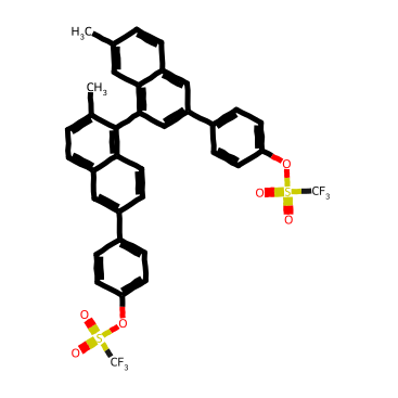 Cc1ccc2cc(-c3ccc(OS(=O)(=O)C(F)(F)F)cc3)cc(-c3c(C)ccc4cc(-c5ccc(OS(=O)(=O)C(F)(F)F)cc5)ccc34)c2c1